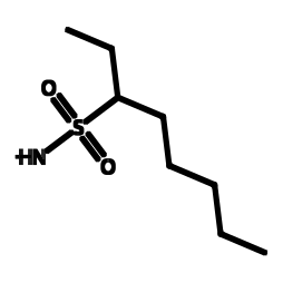 CCCCCC(CC)S([NH])(=O)=O